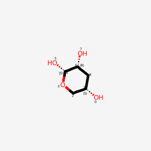 O[C@@H]1CO[C@H](O)[C@H](O)C1